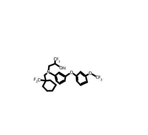 OC(CN(CC1(C(F)(F)F)CCCCC1)c1cccc(Oc2cccc(OC(F)(F)F)c2)c1)C(F)(F)F